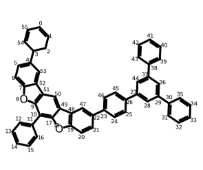 C1=CCC(c2ccc3oc4c(-c5ccccc5)c5oc6ccc(-c7ccc(-c8cc(-c9ccccc9)cc(-c9ccccc9)c8)cc7)cc6c5cc4c3c2)C=C1